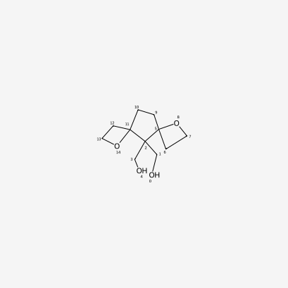 OCC1(CO)C2(CCO2)CCC12CCO2